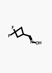 ON=CC1CC(F)(F)C1